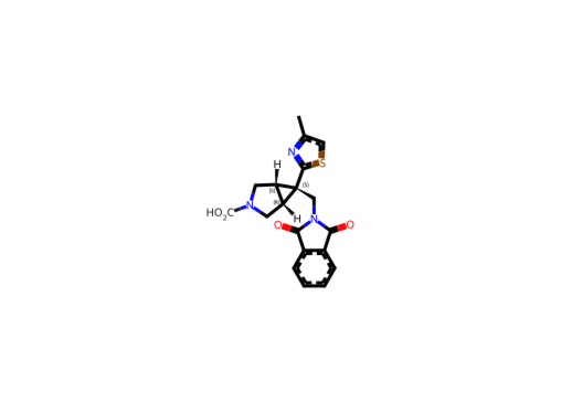 Cc1csc([C@]2(CN3C(=O)c4ccccc4C3=O)[C@@H]3CN(C(=O)O)C[C@@H]32)n1